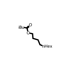 CCCCCCCCCCOC(=O)C(C)CC